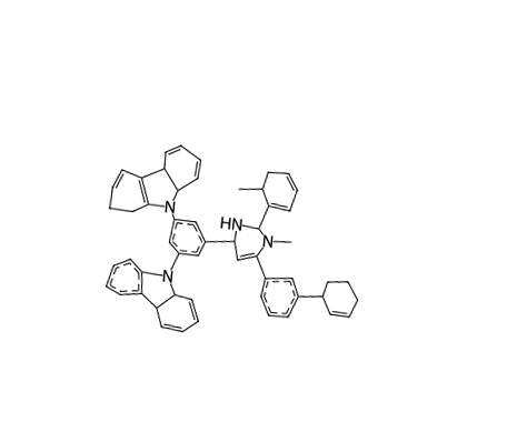 CC1CC=CC=C1C1NC(c2cc(N3C4=C(C=CCC4)C4C=CC=CC43)cc(N3c4ccccc4C4C=CC=CC43)c2)C=C(c2cccc(C3C=CCCC3)c2)N1C